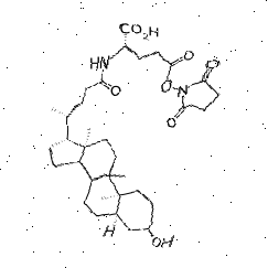 C[C@H](CCC(=O)N[C@@H](CCC(=O)ON1C(=O)CCC1=O)C(=O)O)[C@H]1CCC2C3CC[C@@H]4C[C@H](O)CC[C@]4(C)C3(C)CC[C@@]21C